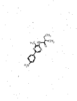 CCC(C)C(=O)Nc1ncc(-c2ccc(N)cc2)nc1C